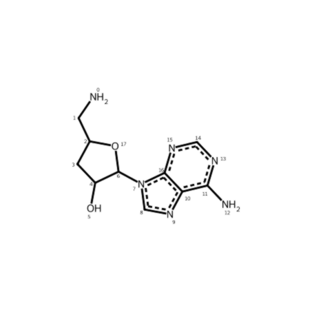 NCC1CC(O)C(n2cnc3c(N)ncnc32)O1